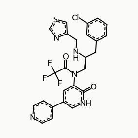 O=C(N(C[C@H](Cc1cccc(Cl)c1)NCc1cscn1)c1cc(-c2ccncc2)c[nH]c1=O)C(F)(F)F